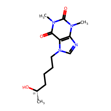 C[C@H](O)CCCCn1cnc2c1c(=O)n(C)c(=O)n2C